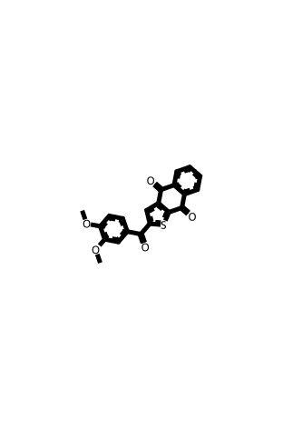 COc1ccc(C(=O)c2cc3c(s2)C(=O)c2ccccc2C3=O)cc1OC